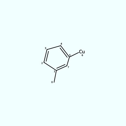 Cc1ccc[c]([Cu])c1